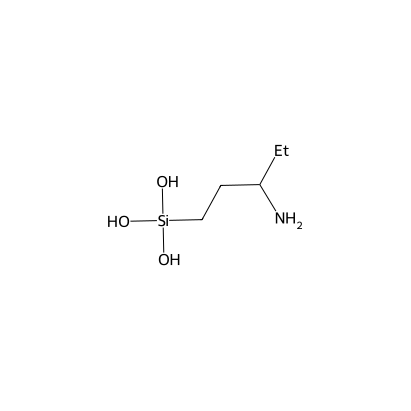 CCC(N)CC[Si](O)(O)O